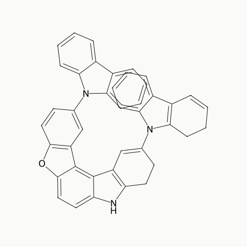 C1=Cc2c(n(C3=Cc4c([nH]c5ccc6oc7ccc(-n8c9ccccc9c9ccccc98)cc7c6c45)CC3)c3ccccc23)CC1